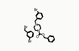 BrCc1cccc(Br)c1.O=C(OCc1ccccc1)N1CCN(Cc2cccc(Br)c2)CC1